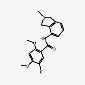 COc1cc(OC)c(C(=O)Nc2cccc3c2CN(C)C3)cc1Cl